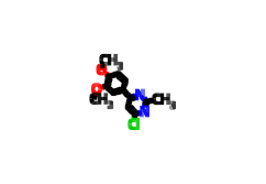 COc1ccc(-c2cc(Cl)nc(C)n2)cc1OC